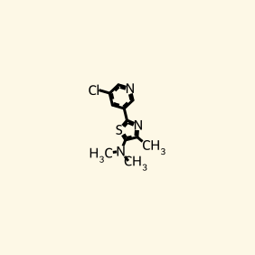 Cc1nc(-c2cncc(Cl)c2)sc1N(C)C